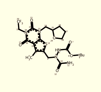 Cc1c(CN(NC(=O)OC(C)(C)C)C(N)=O)sc2c1c(=O)n(CC(F)(F)F)c(=O)n2CC1CCCO1